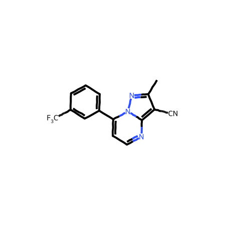 Cc1nn2c(-c3cccc(C(F)(F)F)c3)ccnc2c1C#N